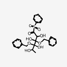 CC(O)C(O)(OCc1ccccc1)C(O)(OCc1ccccc1)C(O)C(=O)S(=O)(=O)c1ccccc1